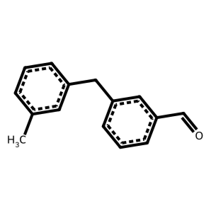 Cc1cccc(Cc2cccc(C=O)c2)c1